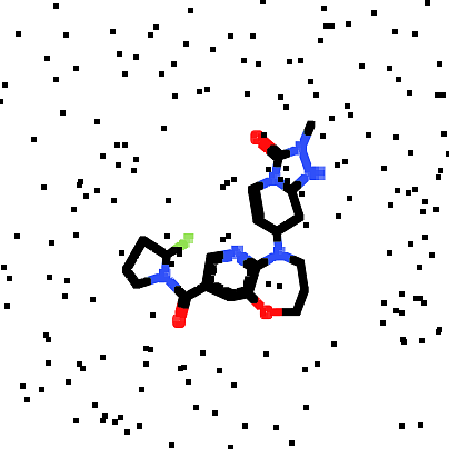 CN1NC2CC(N3CCCOc4cc(C(=O)N5CCC[C@H]5F)cnc43)C=CN2C1=O